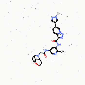 Cc1ncc(NC(=O)CN2C3CC4CC2CC(C3)O4)cc1NC(=O)c1nnn2cc(-c3cnn(C)c3)ccc12